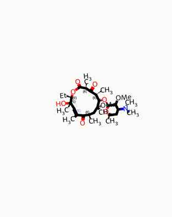 CC[C@H]1OC(=O)[C@H](C)C(=O)[C@H](C)[C@@H](O[C@@H]2O[C@H](C)CC(N(C)C)C2OC)[C@](C)(OC)C[C@@H](C)C(=O)/C(C)=C/[C@]1(C)O